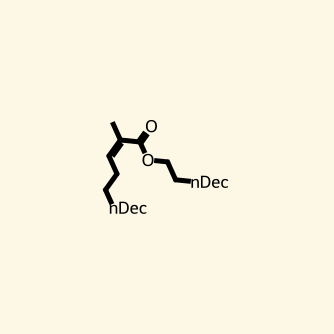 CCCCCCCCCCCCC=C(C)C(=O)OCCCCCCCCCCCC